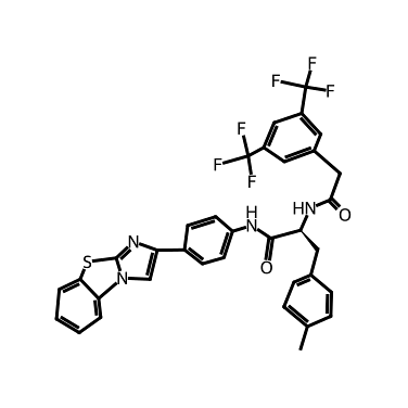 Cc1ccc(C[C@H](NC(=O)Cc2cc(C(F)(F)F)cc(C(F)(F)F)c2)C(=O)Nc2ccc(-c3cn4c(n3)sc3ccccc34)cc2)cc1